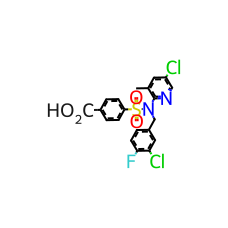 Cc1cc(Cl)cnc1N(Cc1ccc(F)c(Cl)c1)S(=O)(=O)c1ccc(C(=O)O)cc1